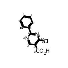 O=C(O)c1cnc(-c2ccccc2)nc1Cl